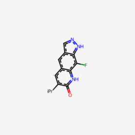 CC(C)c1[c]c2cc3cn[nH]c3c(F)c2[nH]c1=O